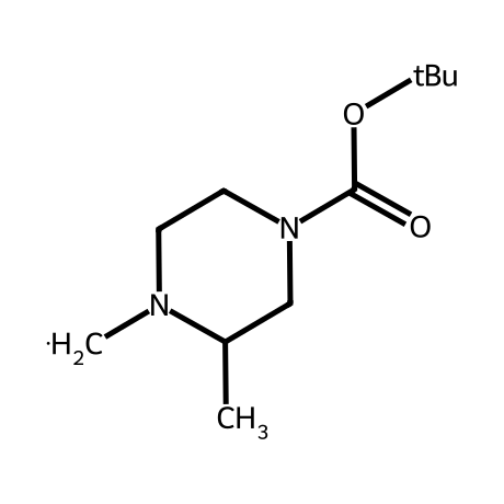 [CH2]N1CCN(C(=O)OC(C)(C)C)CC1C